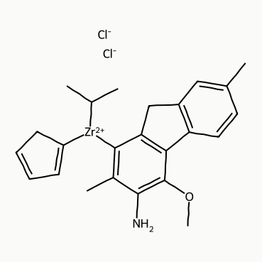 COc1c(N)c(C)[c]([Zr+2]([C]2=CC=CC2)[CH](C)C)c2c1-c1ccc(C)cc1C2.[Cl-].[Cl-]